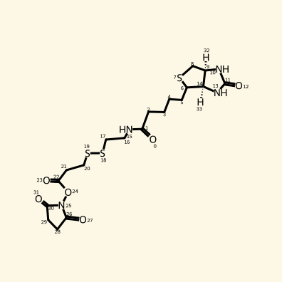 O=C(CCCCC1SC[C@H]2NC(=O)N[C@@H]12)NCCSSCCC(=O)ON1C(=O)CCC1=O